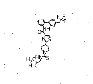 CC(C)CNC(=S)N1CCC(c2nc(C(=O)Nc3ccccc3-c3ccc(CC(F)(F)F)cc3)cs2)CC1